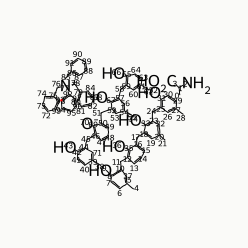 CC(N)C(=O)O.Cc1ccc(O)c(Cc2cccc(Cc3cc(C)cc(Cc4cc(C)ccc4O)c3O)c2O)c1.Cc1ccc(O)c(Cc2cccc(Cc3cc(C)cc(Cc4cc(C)ccc4O)c3O)c2[O-])c1.c1ccc(C[N+](Cc2ccccc2)(Cc2ccccc2)c2ccccc2)cc1